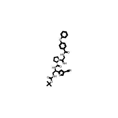 CC(C)(C)OC(=O)NCC(NC(=O)[C@@H]1CCCN1C(=N)CNC(=O)c1ccc(Oc2ccccc2)cc1)c1cc(C#N)cs1